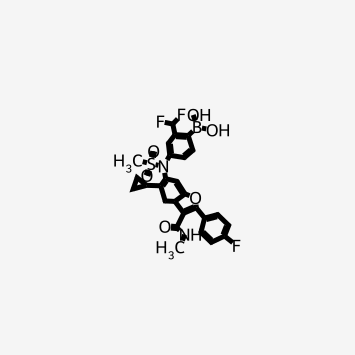 CNC(=O)C1=C(c2ccc(F)cc2)OC2=CC(N(c3ccc(B(O)O)c(C(F)F)c3)S(C)(=O)=O)=C(C3CC3)CC21